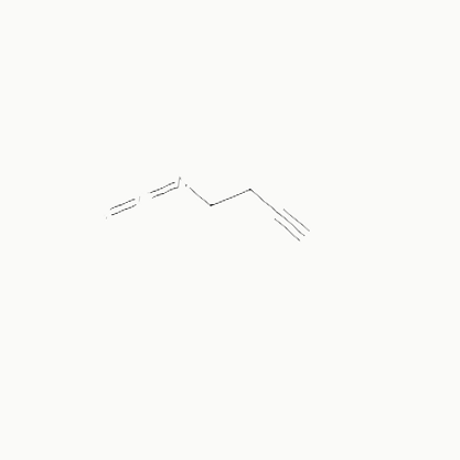 C#CCCN=C=S